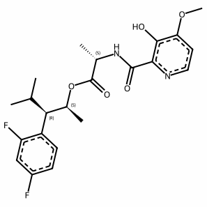 COc1ccnc(C(=O)N[C@@H](C)C(=O)O[C@@H](C)[C@@H](c2ccc(F)cc2F)C(C)C)c1O